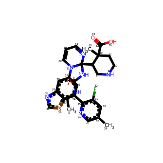 CCNC(=O)NC1(C2CNCCC2(C)C(=O)O)N=CC=CN1c1cc(-c2ncc(C)cc2F)c2scnc2c1